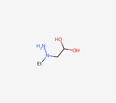 CCN(N)CC(O)O